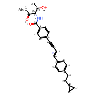 COC(=O)[C@@H](NC(=O)c1ccc(C#C/C=C/c2ccc(CCC3CC3)cc2)cc1)[C@@H](C)O